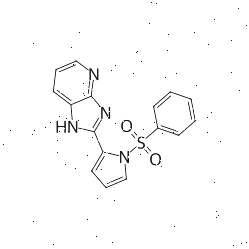 O=S(=O)(c1ccccc1)n1cccc1-c1nc2ncccc2[nH]1